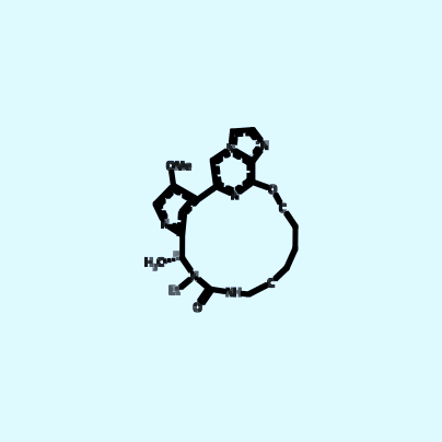 CCN1C(=O)NCCCCCCOc2nc(cn3ccnc23)-c2cc(ncc2OC)[C@H]1C